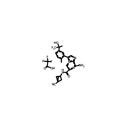 Cc1ccc(C(C)(O)C(F)(F)F)cc1-c1cnc2c(N)nc(C(=O)NC34CC(C#N)(C3)C4)cn12.O=C(O)C(F)(F)F